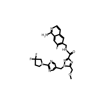 COCc1nc(C(=O)NCc2cc3ccnc(N)c3cc2F)nn1Cc1cnc(N2CCC(F)(F)C2)nc1